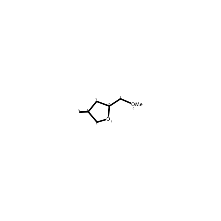 COCC1CC(C)CO1